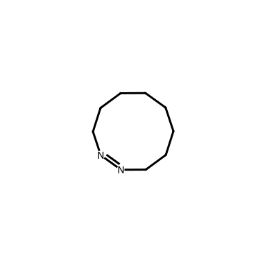 C1CCCCN=NCCC1